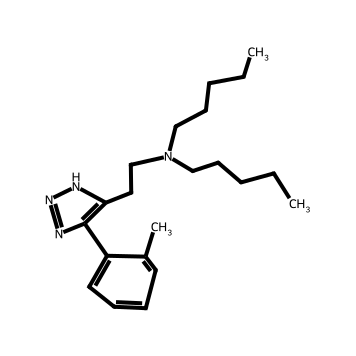 CCCCCN(CCCCC)CCc1[nH]nnc1-c1ccccc1C